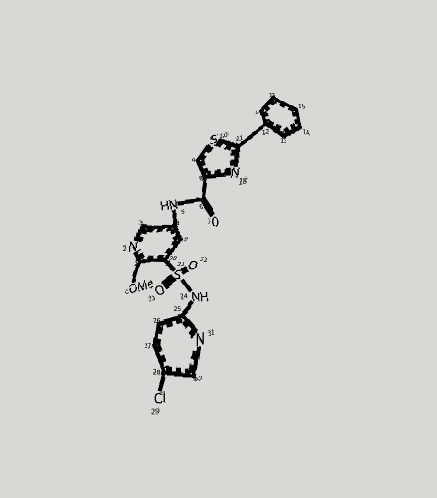 COc1ncc(NC(=O)c2csc(-c3ccccc3)n2)cc1S(=O)(=O)Nc1ccc(Cl)cn1